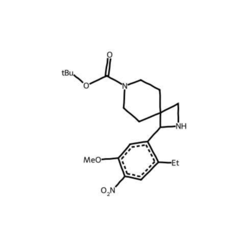 CCc1cc([N+](=O)[O-])c(OC)cc1C1NCC12CCN(C(=O)OC(C)(C)C)CC2